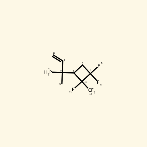 C=CC(C)(P)C1CC(F)(F)C1(F)C(F)(F)F